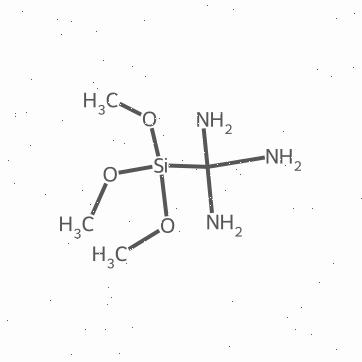 CO[Si](OC)(OC)C(N)(N)N